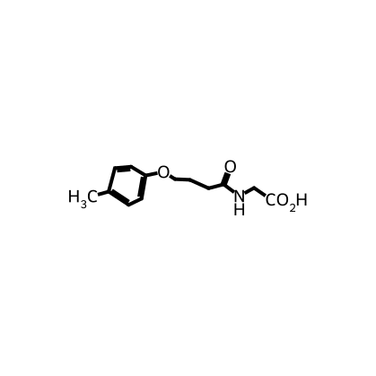 Cc1ccc(OCCCC(=O)NCC(=O)O)cc1